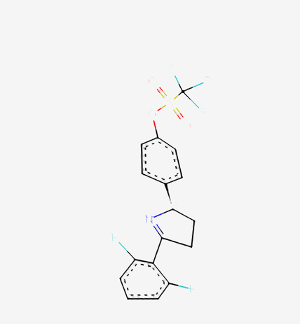 O=S(=O)(Oc1ccc([C@H]2CCC(c3c(F)cccc3F)=N2)cc1)C(F)(F)F